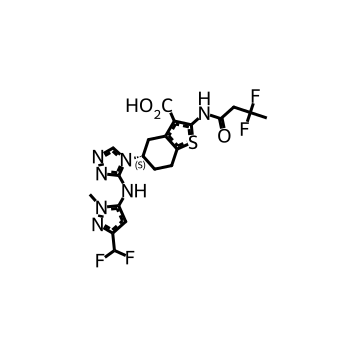 Cn1nc(C(F)F)cc1Nc1nncn1[C@H]1CCc2sc(NC(=O)CC(C)(F)F)c(C(=O)O)c2C1